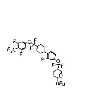 CCCCC1CCC(C(F)(F)Oc2ccc(C3CCC(C(F)(F)Oc4cc(F)c(C(F)(F)F)c(F)c4)CC3)c(F)c2)CO1